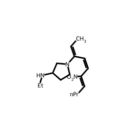 C\C=C(/C=C\C(=C\CCC)[N+](=O)[O-])N1CCC(NCC)C1